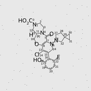 O=C(O)N1CCN2C(=O)C3=C(OC[C@H]2C1)C(Cl)=C(c1c(O)cccc1F)CN3N1CCC2(CC2)C1